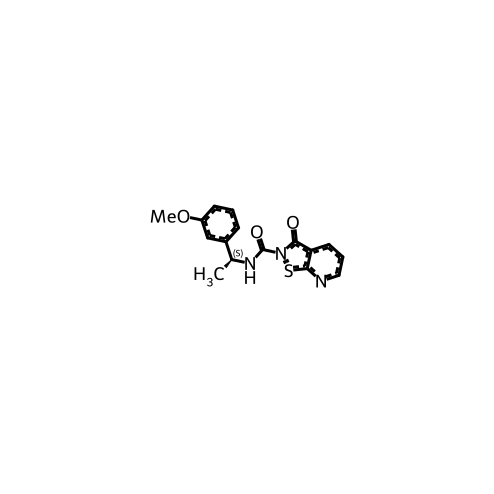 COc1cccc([C@H](C)NC(=O)n2sc3ncccc3c2=O)c1